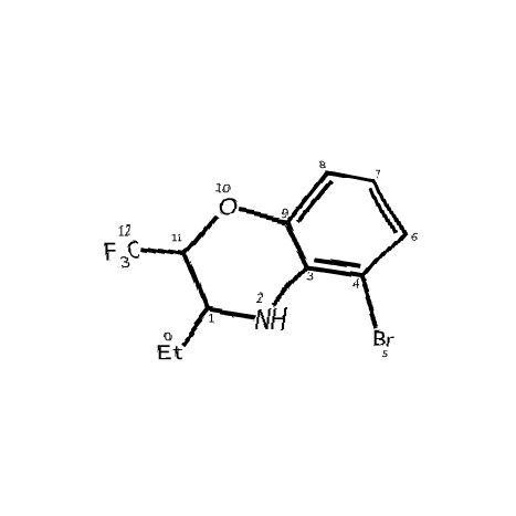 CCC1Nc2c(Br)cccc2OC1C(F)(F)F